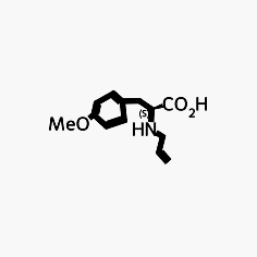 C=CCN[C@@H](Cc1ccc(OC)cc1)C(=O)O